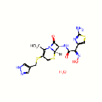 Nc1nc(/C(=N/O)C(=O)N[C@@H]2C(=O)N3C(C(=O)O)=C(SCc4cn[nH]c4)CS[C@H]23)cs1.O